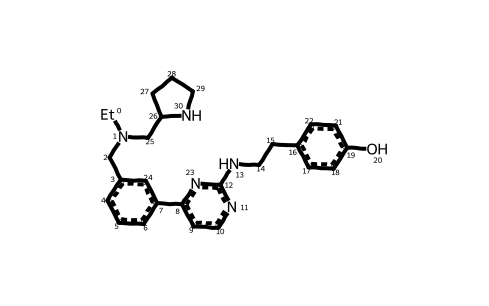 CCN(Cc1cccc(-c2ccnc(NCCc3ccc(O)cc3)n2)c1)CC1CCCN1